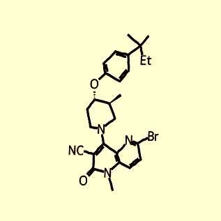 CCC(C)(C)c1ccc(O[C@H]2CCN(c3c(C#N)c(=O)n(C)c4ccc(Br)nc34)C[C@@H]2C)cc1